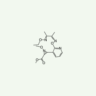 CCON=C(C)C(C)=NOc1ncccc1C1=C(C(=O)OC)N1OC